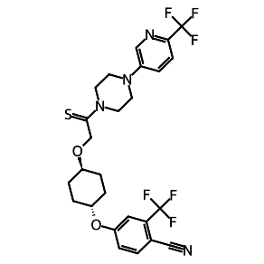 N#Cc1ccc(O[C@H]2CC[C@H](OCC(=S)N3CCN(c4ccc(C(F)(F)F)nc4)CC3)CC2)cc1C(F)(F)F